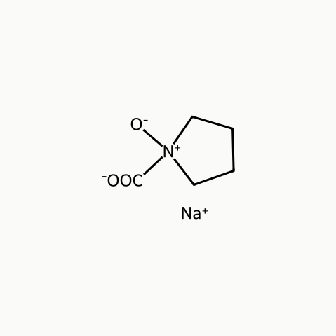 O=C([O-])[N+]1([O-])CCCC1.[Na+]